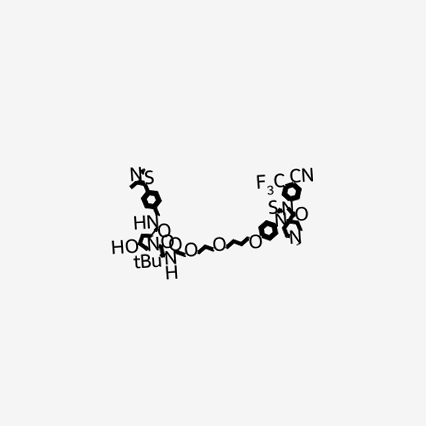 Cc1ncsc1-c1ccc(CNC(=O)[C@@H]2C[C@@H](O)CN2C(=O)C(NC(=O)COCCCOCCCCOc2ccc(N3C(=S)N(c4ccc(C#N)c(C(F)(F)F)c4)C(=O)C34CCN(C)CC4)cc2)C(C)(C)C)cc1